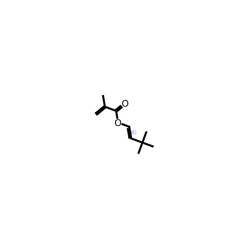 C=C(C)C(=O)O/C=C/C(C)(C)C